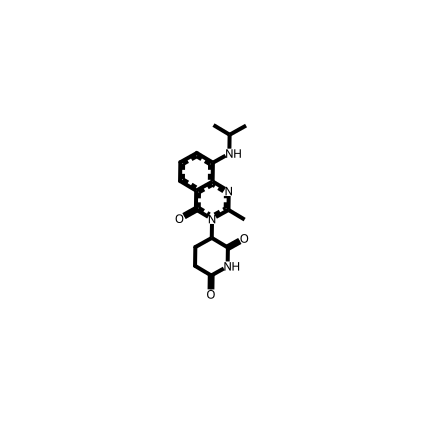 Cc1nc2c(NC(C)C)cccc2c(=O)n1C1CCC(=O)NC1=O